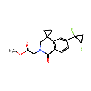 COC(=O)CN1CC2(CC2)c2cc([C@]3(F)C[C@@H]3F)ccc2C1=O